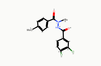 COc1ccc(C(=O)N(NC(=O)c2ccc(Cl)c(Cl)c2)C(C)(C)C)cc1